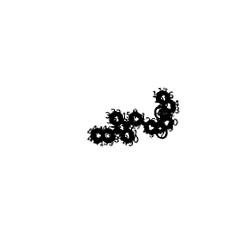 c1cc(-c2ccc3oc4ccc5c6ccc7ccccc7c6oc5c4c3c2)cc(-c2c3ccccc3c(-c3ccc4ccccc4c3)c3ccccc23)c1